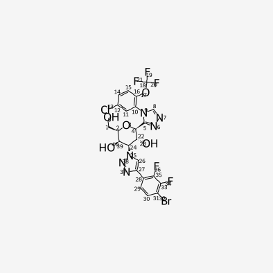 OC[C@H]1O[C@@H](c2nncn2-c2cc(Cl)ccc2OC(F)(F)F)[C@H](O)[C@@H](n2cc(-c3ccc(Br)c(F)c3F)nn2)[C@H]1O